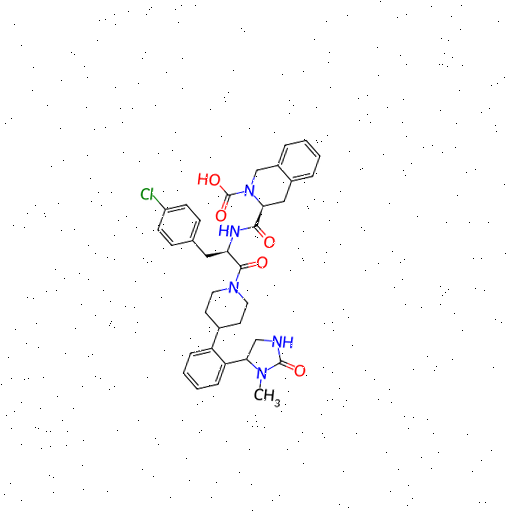 CN1C(=O)NCC1c1ccccc1C1CCN(C(=O)[C@@H](Cc2ccc(Cl)cc2)NC(=O)[C@@H]2Cc3ccccc3CN2C(=O)O)CC1